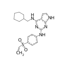 C=CS(=O)(=O)c1ccc(Nc2nc(NCC3CCCCC3)c3cc[nH]c3n2)cc1